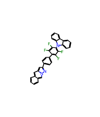 Fc1c(F)c(-n2c3ccccc3c3ccccc32)c(F)c(F)c1-c1ccc(-c2cc3cc4ccccc4cn3n2)cc1